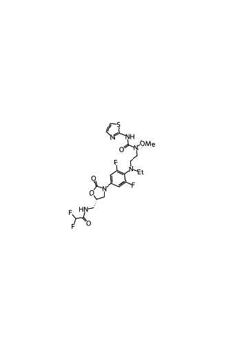 CCN(CCN(OC)C(=O)Nc1nccs1)c1c(F)cc(N2C[C@H](CNC(=O)C(F)F)OC2=O)cc1F